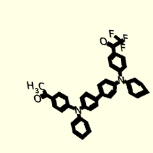 CC(=O)c1ccc(N(c2ccccc2)c2ccc(-c3ccc(N(c4ccccc4)c4ccc(C(=O)C(F)(F)F)cc4)cc3)cc2)cc1